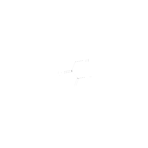 C=C(CS)C(=O)O